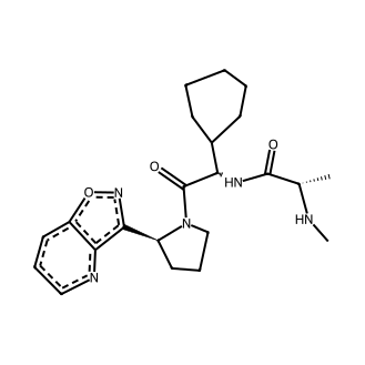 CN[C@@H](C)C(=O)N[C@H](C(=O)N1CCC[C@H]1c1noc2cccnc12)C1CCCCC1